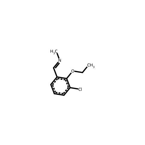 CCOc1c(Cl)cccc1C=NC